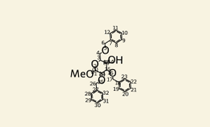 CO[C@H]1OC(COCc2ccccc2)[C@@H](O)C(OCc2ccccc2)[C@@H]1OCc1ccccc1